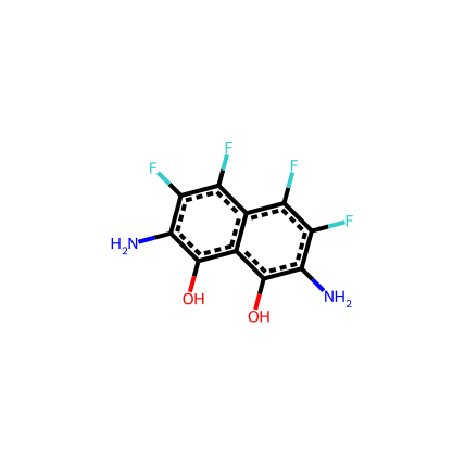 Nc1c(F)c(F)c2c(F)c(F)c(N)c(O)c2c1O